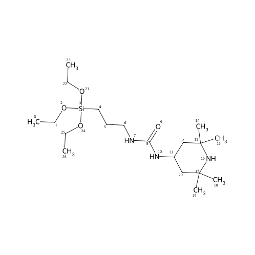 CCO[Si](CCCNC(=O)NC1CC(C)(C)NC(C)(C)C1)(OCC)OCC